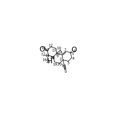 C#CC12CCC(=O)C=C1[C@@]1(C)CCC(=O)C(C)(C)[C@@H]1CC2